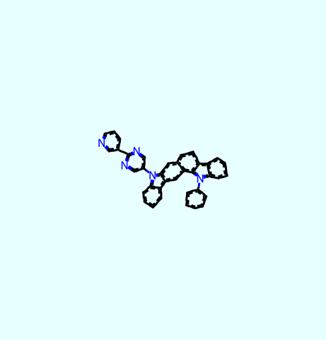 c1ccc(-n2c3ccccc3c3ccc4cc5c(cc4c32)c2ccccc2n5-c2cnc(-c3cccnc3)nc2)cc1